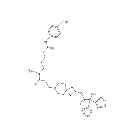 CN(CCCCC(=O)Nc1ccc(C=O)cc1)C(=O)CCN1CCC2(CC1)CC(OC(=O)C(O)(c1cccs1)c1cccs1)C2